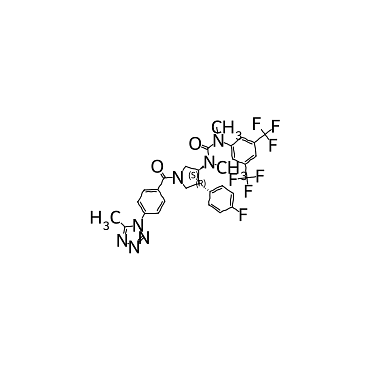 Cc1nnnn1-c1ccc(C(=O)N2C[C@@H](N(C)C(=O)N(C)c3cc(C(F)(F)F)cc(C(F)(F)F)c3)[C@H](c3ccc(F)cc3)C2)cc1